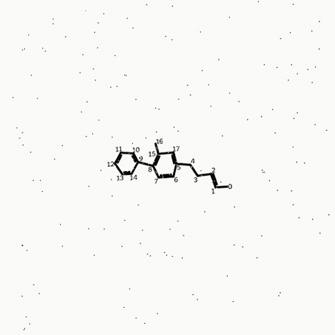 C/C=C/CCc1ccc(-c2ccccc2)c(C)c1